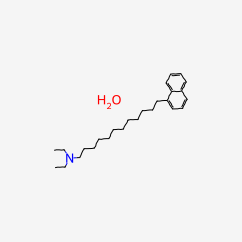 CCN(CC)CCCCCCCCCCCCc1cccc2ccccc12.O